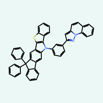 c1ccc(C2(c3ccccc3)c3ccccc3-c3cc4c(cc32)c2sc3ccccc3c2n4-c2cccc(-c3cc4ccc5ccccc5n4n3)c2)cc1